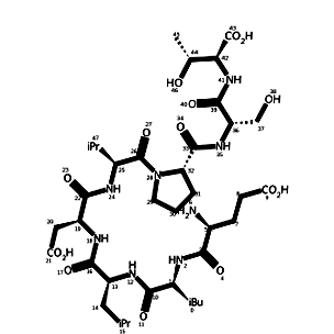 CC[C@H](C)[C@H](NC(=O)[C@@H](N)CCC(=O)O)C(=O)N[C@@H](CC(C)C)C(=O)N[C@@H](CC(=O)O)C(=O)N[C@H](C(=O)N1CCC[C@H]1C(=O)N[C@@H](CO)C(=O)N[C@H](C(=O)O)[C@@H](C)O)C(C)C